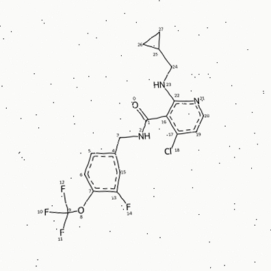 O=C(NCc1ccc(OC(F)(F)F)c(F)c1)c1c(Cl)ccnc1NCC1CC1